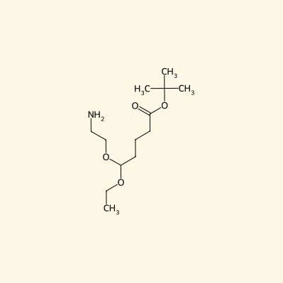 CCOC(CCCC(=O)OC(C)(C)C)OCCN